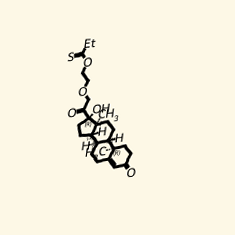 CCC(=S)OCCOCC(=O)[C@@]1(O)CC[C@H]2[C@@H]3CCC4=CC(=O)CC[C@]4(C)[C@H]3CC[C@@]21C